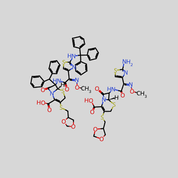 CO/N=C(\C(=O)NC1(C(c2ccccc2)c2ccccc2)C(=O)N2C(C(=O)O)=C(SCC3COCO3)CS[C@H]21)c1csc(NC(c2ccccc2)(c2ccccc2)c2ccccc2)n1.CO/N=C(\C(=O)NC1C(=O)N2C(C(=O)O)=C(SCC3COCO3)CS[C@@H]12)c1csc(N)n1